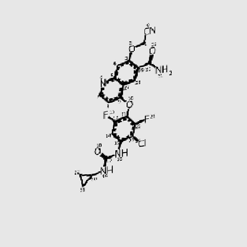 N#CCOc1cc2nccc(Oc3c(F)cc(NC(=O)NC4CC4)c(Cl)c3F)c2cc1C(N)=O